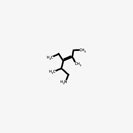 CC/C(C)=C(\CC)C(C)CN